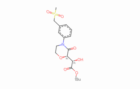 CC(C)(C)OC(=O)[C@H](O)[C@H]1OCCN(c2cccc(CS(C)(=O)=O)c2)C1=O